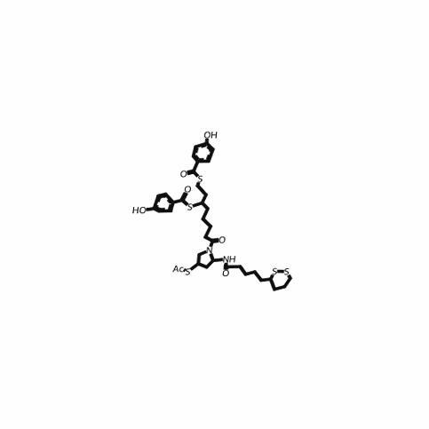 CC(=O)SC1CC(NC(=O)CCCCC2CCCSS2)N(C(=O)CCCCC(CCSC(=O)c2ccc(O)cc2)SC(=O)c2ccc(O)cc2)C1